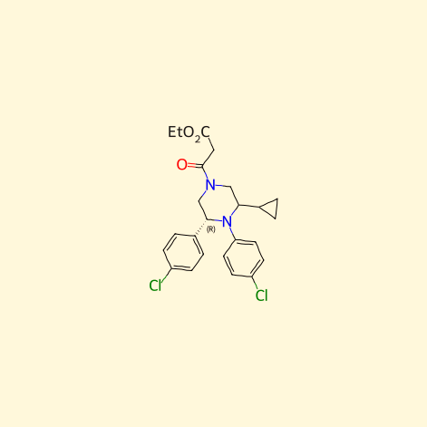 CCOC(=O)CC(=O)N1CC(C2CC2)N(c2ccc(Cl)cc2)[C@H](c2ccc(Cl)cc2)C1